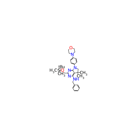 CC1(C)CN(c2ccc(N3CCOCC3)cc2)c2nc(CO[Si](C)(C)C(C)(C)C)nc(NCc3ccccc3)c21